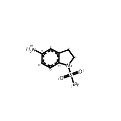 CC(C)S(=O)(=O)N1CCc2cc(N)ccc21